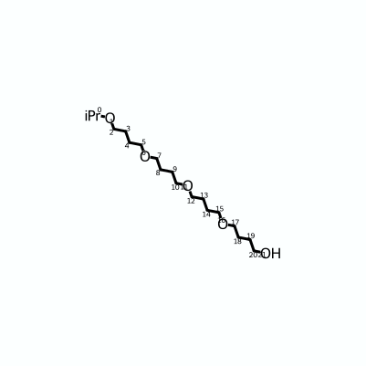 CC(C)OCCCCOCCCCOCCCCOCCCCO